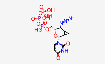 [N-]=[N+]=NC1C2CC2[C@H](n2ccc(=O)[nH]c2=O)O[C@@H]1COP(=O)(O)OP(=O)(O)OP(=O)(O)O